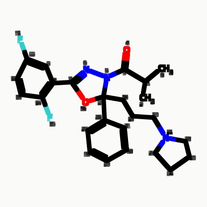 CC(C)C(=O)N1N=C(c2cc(F)ccc2F)OC1(CCCN1CCCC1)c1ccccc1